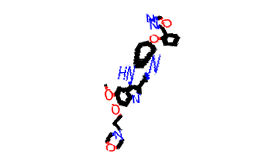 COc1cc2c(Nc3ccc(Oc4ccccc4-c4nnco4)cc3)c(C#N)cnc2cc1OCCCN1CCOCC1